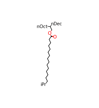 CCCCCCCCCCC(CCCCCCCC)COC(=O)CCCCCCCCCCCCCCC(C)C